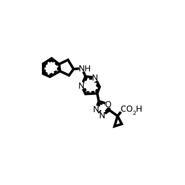 O=C(O)C1(c2nnc(-c3cnc(NC4Cc5ccccc5C4)nc3)o2)CC1